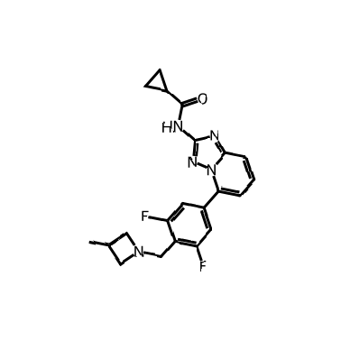 CC1CN(Cc2c(F)cc(-c3cccc4nc(NC(=O)C5CC5)nn34)cc2F)C1